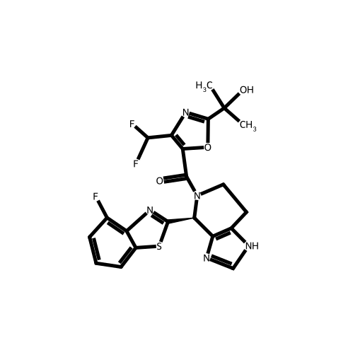 CC(C)(O)c1nc(C(F)F)c(C(=O)N2CCc3[nH]cnc3[C@H]2c2nc3c(F)cccc3s2)o1